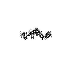 [2H]C([2H])([2H])N1CCC[C@@H]1/C=C/C(=O)Nc1cc2c(Nc3cc(C)c(Oc4ccn5ncnc5c4)cc3OC)ncnc2cc1OC